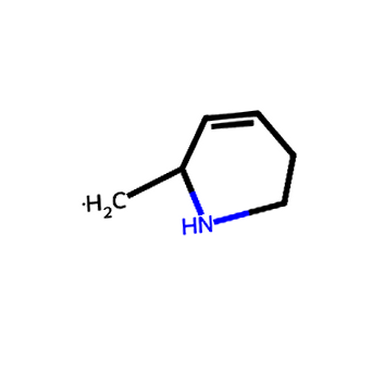 [CH2]C1C=CCCN1